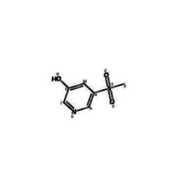 CS(=O)(=O)c1cncc(O)c1